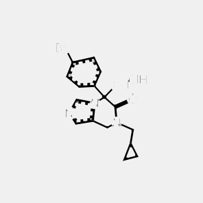 CC1(c2ccc(Br)cc2)C(=O)N(CC2CC2)Cc2cncn21.Cl